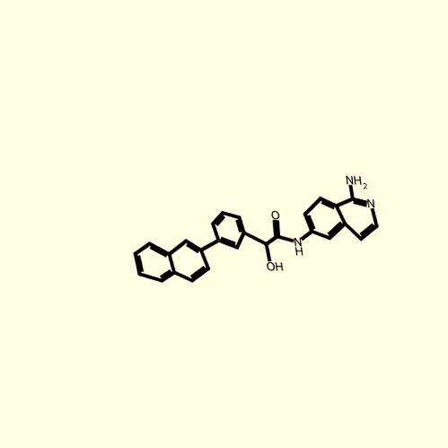 Nc1nccc2cc(NC(=O)C(O)c3cccc(-c4ccc5ccccc5c4)c3)ccc12